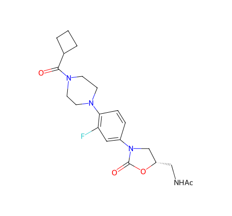 CC(=O)NC[C@H]1CN(c2ccc(N3CCN(C(=O)C4CCC4)CC3)c(F)c2)C(=O)O1